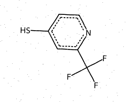 FC(F)(F)c1cc(S)ccn1